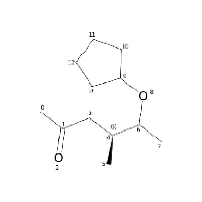 CC(=O)C[C@H](C)C(C)OC1CCCC1